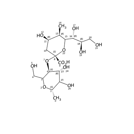 C[C@@H]1OC(CO)[C@@H](O[C@]2(C(=O)O)C[C@@H](O)[C@@H](C)C([C@H](O)[C@H](O)CO)O2)[C@H](O)C1O